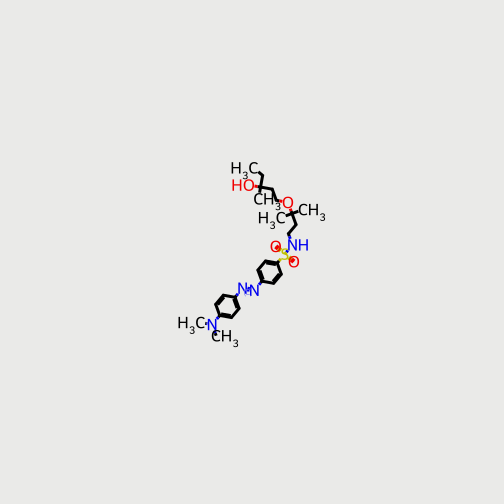 CCC(C)(O)CCOC(C)(C)CCNS(=O)(=O)c1ccc(/N=N/c2ccc(N(C)C)cc2)cc1